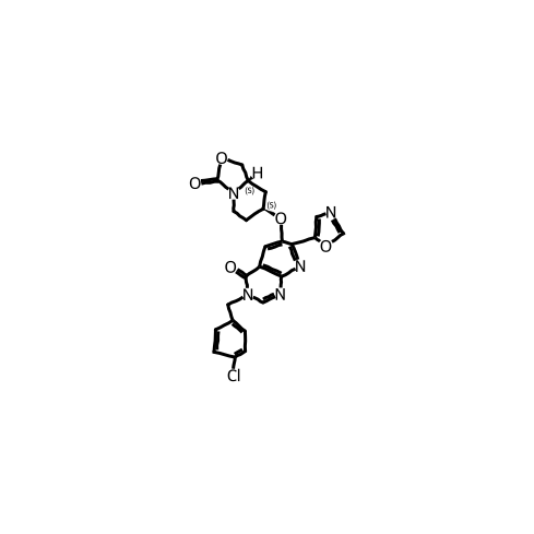 O=C1OC[C@@H]2C[C@@H](Oc3cc4c(=O)n(Cc5ccc(Cl)cc5)cnc4nc3-c3cnco3)CCN12